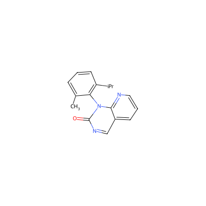 Cc1cccc(C(C)C)c1-n1c(=O)ncc2cccnc21